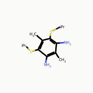 Cc1c(N)c(SC(C)C)c(C)c(SC(C)C)c1N